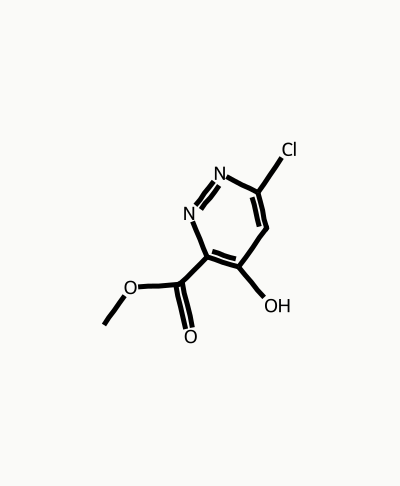 COC(=O)c1nnc(Cl)cc1O